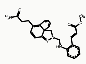 CC(C)(C)OC(=O)/C=C/c1ccccc1NCN1CC23C=CC=CC2=C(CCC(N)=O)C=CC3=N1